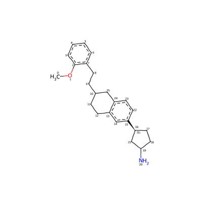 COc1ccccc1CCC1CCc2cc([C@H]3CCC(N)C3)ccc2C1